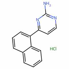 Cl.Nc1nccc(-c2cccc3ccccc23)n1